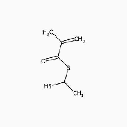 C=C(C)C(=O)SC(C)S